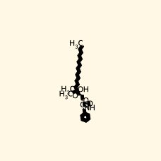 CCCCCCCCCCCCCCCC1(O)[C@@H](CCOS(=O)(=O)NCc2ccccc2)OC1(C)C